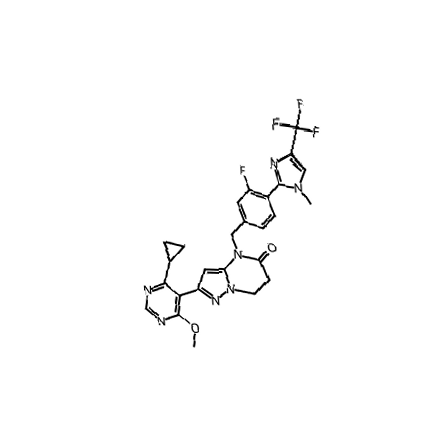 COc1ncnc(C2CC2)c1-c1cc2n(n1)CCC(=O)N2Cc1ccc(-c2nc(C(F)(F)F)cn2C)c(F)c1